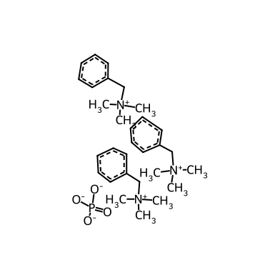 C[N+](C)(C)Cc1ccccc1.C[N+](C)(C)Cc1ccccc1.C[N+](C)(C)Cc1ccccc1.O=P([O-])([O-])[O-]